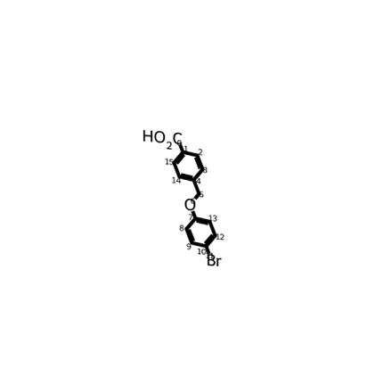 O=C(O)c1ccc(COc2ccc(Br)cc2)cc1